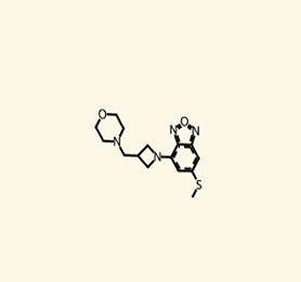 CSc1cc(N2CC(CN3CCOCC3)C2)c2nonc2c1